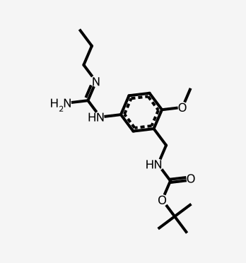 CCCN=C(N)Nc1ccc(OC)c(CNC(=O)OC(C)(C)C)c1